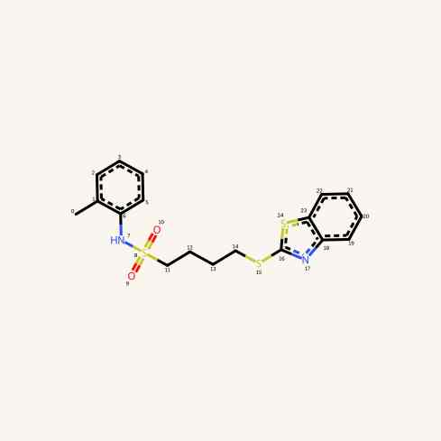 Cc1ccccc1NS(=O)(=O)CCCCSc1nc2ccccc2s1